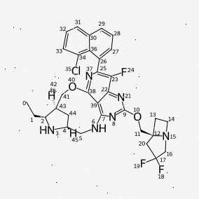 CC[C@@H]1N[C@H]2CNc3nc(OC[C@@]45CCN4CC(F)(F)C5)nc4c(F)c(-c5cccc6cccc(Cl)c56)nc(c34)O[C@@H](C)[C@H]1C2